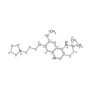 COc1cc2c3c(cnc2cc1OCCCN1CCCC1)CCC(C)(C)N3